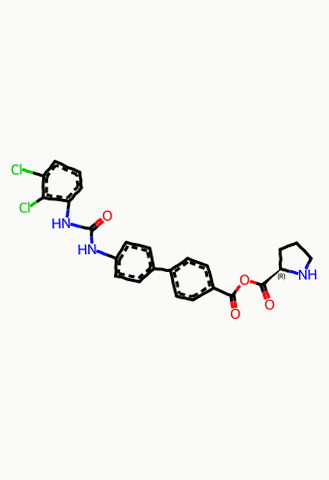 O=C(Nc1ccc(-c2ccc(C(=O)OC(=O)[C@H]3CCCN3)cc2)cc1)Nc1cccc(Cl)c1Cl